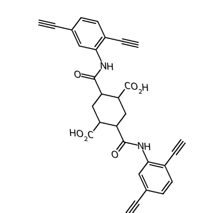 C#Cc1ccc(C#C)c(NC(=O)C2CC(C(=O)O)C(C(=O)Nc3cc(C#C)ccc3C#C)CC2C(=O)O)c1